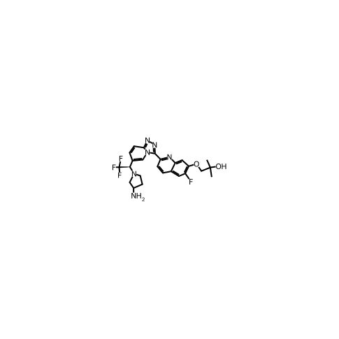 CC(C)(O)COc1cc2nc(-c3nnc4ccc([C@@H](N5CCC(N)C5)C(F)(F)F)cn34)ccc2cc1F